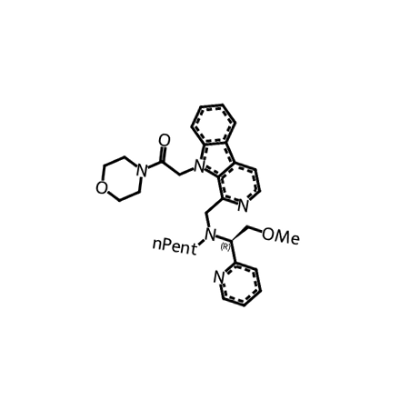 CCCCCN(Cc1nccc2c3ccccc3n(CC(=O)N3CCOCC3)c12)[C@@H](COC)c1ccccn1